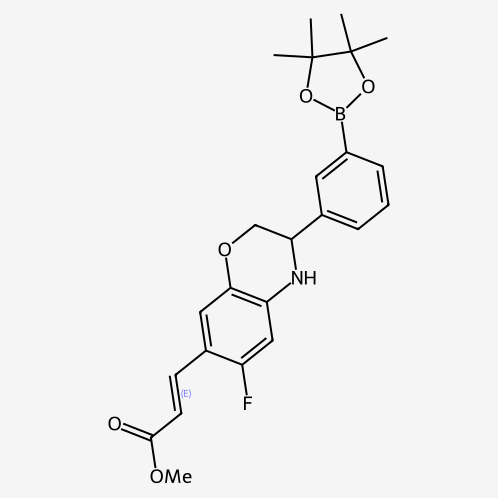 COC(=O)/C=C/c1cc2c(cc1F)NC(c1cccc(B3OC(C)(C)C(C)(C)O3)c1)CO2